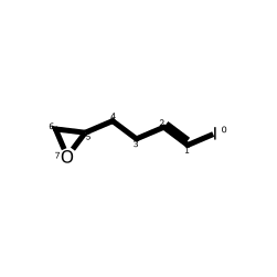 IC=CCCC1CO1